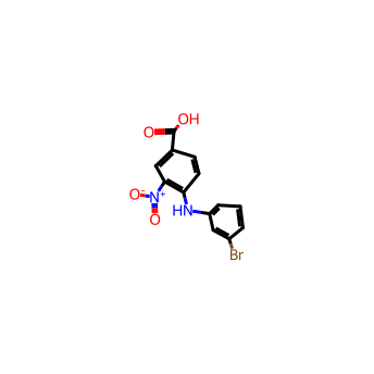 O=C(O)c1ccc(Nc2cccc(Br)c2)c([N+](=O)[O-])c1